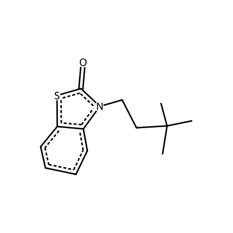 CC(C)(C)CCn1c(=O)sc2ccccc21